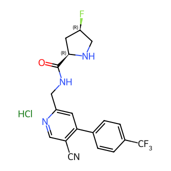 Cl.N#Cc1cnc(CNC(=O)[C@H]2C[C@@H](F)CN2)cc1-c1ccc(C(F)(F)F)cc1